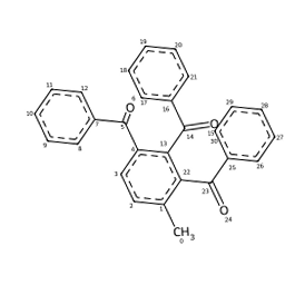 Cc1ccc(C(=O)c2ccccc2)c(C(=O)c2ccccc2)c1C(=O)c1ccccc1